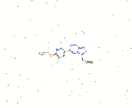 COCc1nnc2cnc(-c3cnc(OCC(F)(F)F)c(F)c3)cn12